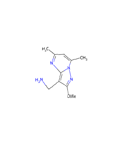 COc1nn2c(C)cc(C)nc2c1CN